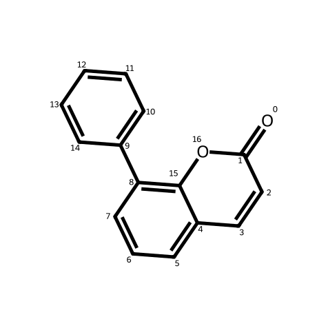 O=c1ccc2cccc(-c3ccccc3)c2o1